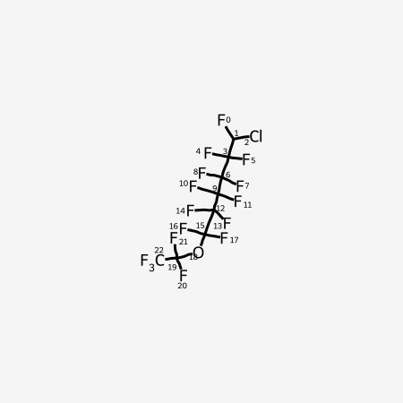 FC(Cl)C(F)(F)C(F)(F)C(F)(F)C(F)(F)C(F)(F)OC(F)(F)C(F)(F)F